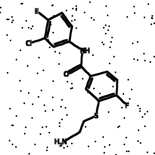 NCCSc1cc(C(=O)Nc2ccc(F)c(Cl)c2)ccc1F